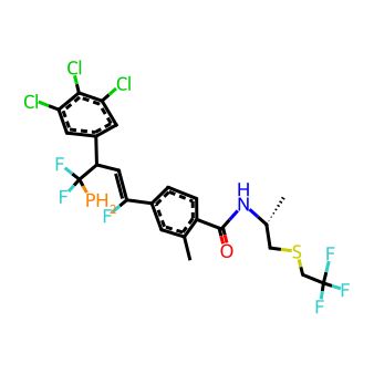 Cc1cc(/C(F)=C/C(c2cc(Cl)c(Cl)c(Cl)c2)C(F)(F)P)ccc1C(=O)N[C@H](C)CSCC(F)(F)F